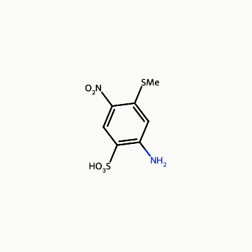 CSc1cc(N)c(S(=O)(=O)O)cc1[N+](=O)[O-]